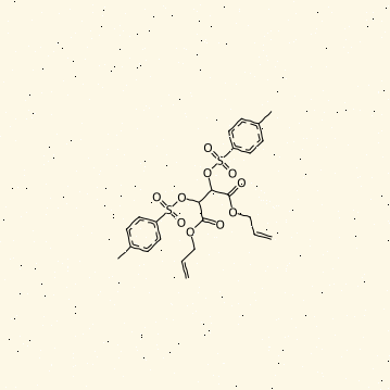 C=CCOC(=O)C(OS(=O)(=O)c1ccc(C)cc1)C(OS(=O)(=O)c1ccc(C)cc1)C(=O)OCC=C